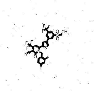 CCS(=O)(=O)c1cc(-c2csc(-c3cc(C(F)(F)F)c(C#N)c(=O)n3Cc3ccc(F)cc3F)c2)cc(C(F)(F)F)c1